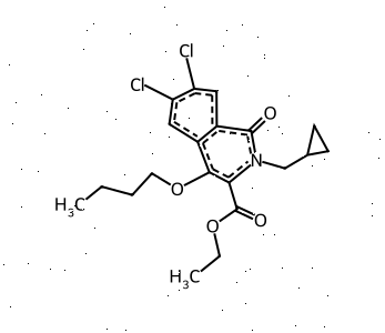 CCCCOc1c(C(=O)OCC)n(CC2CC2)c(=O)c2cc(Cl)c(Cl)cc12